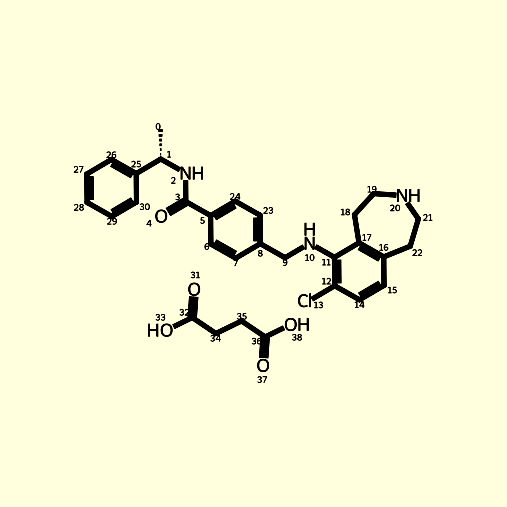 C[C@H](NC(=O)c1ccc(CNc2c(Cl)ccc3c2CCNCC3)cc1)c1ccccc1.O=C(O)CCC(=O)O